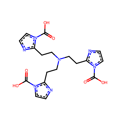 O=C(O)n1ccnc1CCN(CCc1nccn1C(=O)O)CCc1nccn1C(=O)O